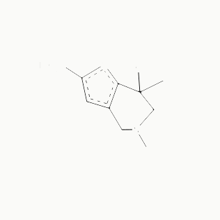 CCOC(=O)c1cc2c(s1)C(C)(C)CN(C)C2